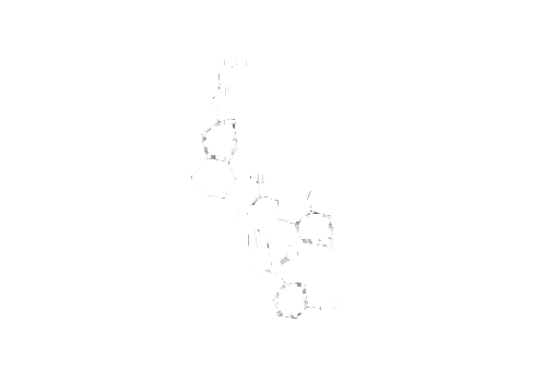 CC(C)(C)CNCc1ccc2c(c1)CCC[C@H]2NC(=O)C[C@H](NS(=O)(=O)c1cccc(C(F)(F)F)c1)c1ccccc1F